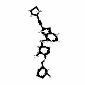 Fc1cccc(COc2ccc(Nc3ncnc4cc(C#CC5CCCN5)sc34)cc2Cl)c1